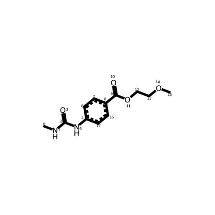 CNC(=O)Nc1ccc(C(=O)OCCOC)cc1